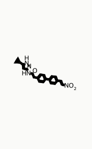 O=C(Cc1ccc(-c2ccc(C=C[N+](=O)[O-])cc2)cc1)Nc1cc(C2CC2)[nH]n1